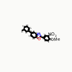 COc1ccc(-c2nc3cc(-c4cccc(C)c4)ccc3o2)cc1[N+](=O)[O-]